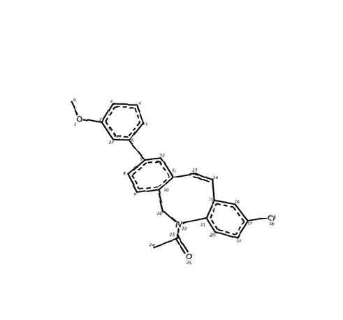 COc1cccc(-c2ccc3c(c2)/C=C\c2cc(Cl)ccc2N(C(C)=O)C3)c1